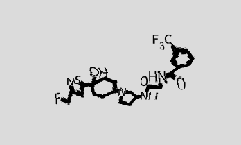 O=C(CNC(=O)c1cccc(C(F)(F)F)c1)NC1CCN(C2CCC(O)(c3cc(CF)ns3)CC2)C1